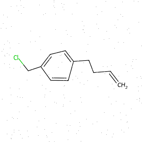 C=CCCc1ccc(CCl)cc1